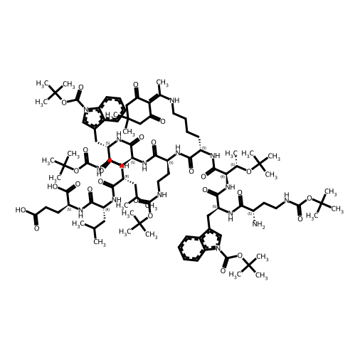 CC(NCCCC[C@H](NC(=O)[C@H](NC(=O)[C@H](Cc1cn(C(=O)OC(C)(C)C)c2ccccc12)NC(=O)[C@@H](N)CCNC(=O)OC(C)(C)C)[C@H](C)OC(C)(C)C)C(=O)N[C@@H](CCNC(=O)OC(C)(C)C)C(=O)N[C@@H](CCNC(=O)OC(C)(C)C)C(=O)N[C@@H](Cc1cn(C(=O)OC(C)(C)C)c2ccccc12)C(=O)N[C@H](CC(C)C)C(=O)N[C@H](CC(C)C)C(=O)N[C@@H](CCC(=O)O)C(=O)O)=C1C(=O)CC(C)(C)CC1=O